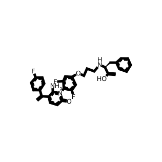 C=C(c1ccc(F)cc1)c1ccc(=O)n(-c2c(F)cc(OCCCN[C@@H](Cc3ccccc3)C(=C)O)cc2F)c1N